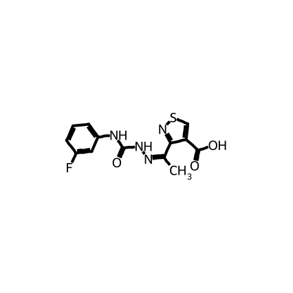 CC(=NNC(=O)Nc1cccc(F)c1)c1nscc1C(=O)O